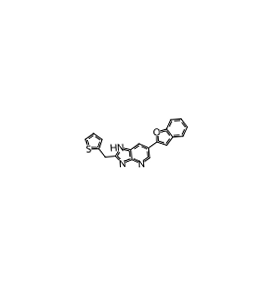 c1csc(Cc2nc3ncc(-c4cc5ccccc5o4)cc3[nH]2)c1